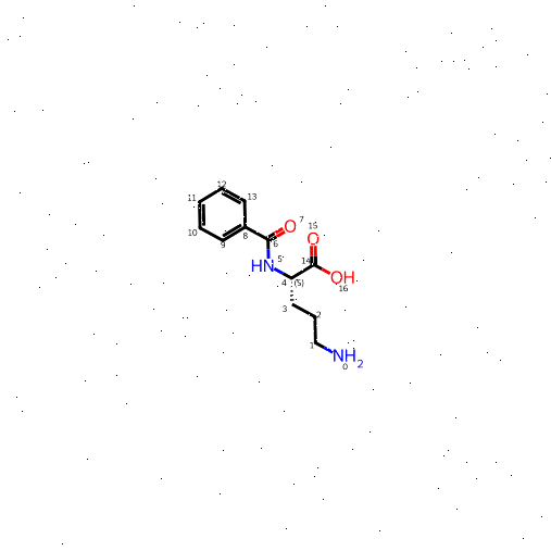 NCCC[C@H](NC(=O)c1ccccc1)C(=O)O